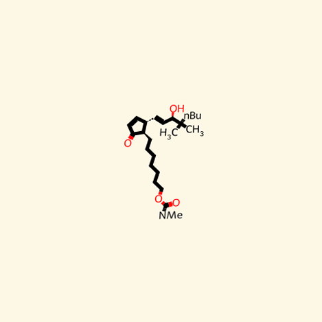 CCCCC(C)(C)[C@H](O)/C=C/[C@H]1C=CC(=O)[C@@H]1CCCCCCCOC(=O)NC